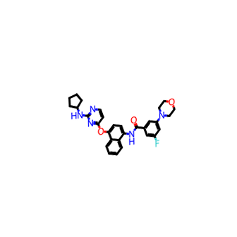 O=C(Nc1ccc(Oc2ccnc(NC3CCCC3)n2)c2ccccc12)c1cc(F)cc(N2CCOCC2)c1